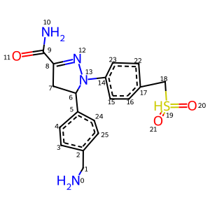 NCc1ccc(C2CC(C(N)=O)=NN2c2ccc(C[SH](=O)=O)cc2)cc1